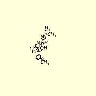 COc1cccc(C(CO)Nc2nc(Nc3cnn(C(C)C)c3)ncc2Cl)c1